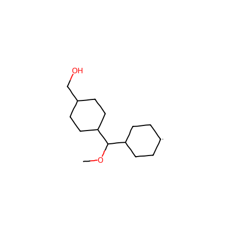 COC(C1CC[CH]CC1)C1CCC(CO)CC1